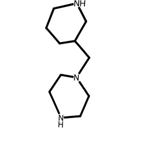 C1CNCC(CN2CCNCC2)C1